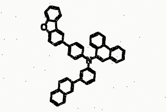 c1cc(-c2ccc3ccccc3c2)cc(N(c2ccc(-c3ccc4oc5ccccc5c4c3)cc2)c2cc3ccccc3c3ccccc23)c1